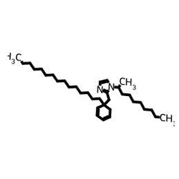 CCCCCCCCCCCCCCCC1(Cc2nccn2C(C)CCCCCCCC)C=CC=CC1